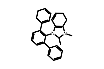 CC1N(C)C2=C(C=CCC2)N1c1c(C2=CC=CCC2)cccc1-c1ccccc1